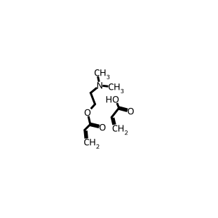 C=CC(=O)O.C=CC(=O)OCCN(C)C